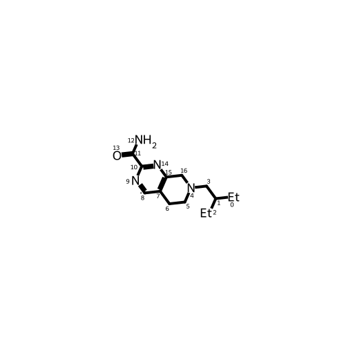 CCC(CC)CN1CCc2[c]nc(C(N)=O)nc2C1